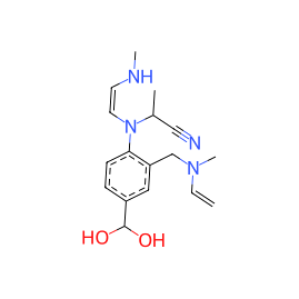 C=CN(C)Cc1cc(C(O)O)ccc1N(/C=C\NC)C(C)C#N